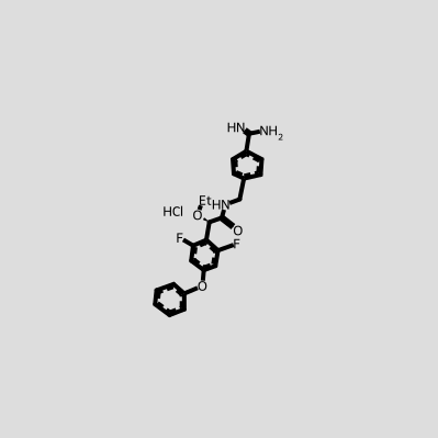 CCO[C@H](C(=O)NCc1ccc(C(=N)N)cc1)c1c(F)cc(Oc2ccccc2)cc1F.Cl